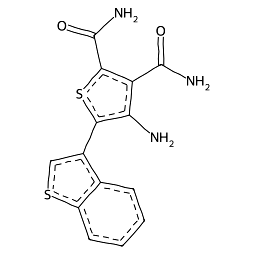 NC(=O)c1sc(-c2csc3ccccc23)c(N)c1C(N)=O